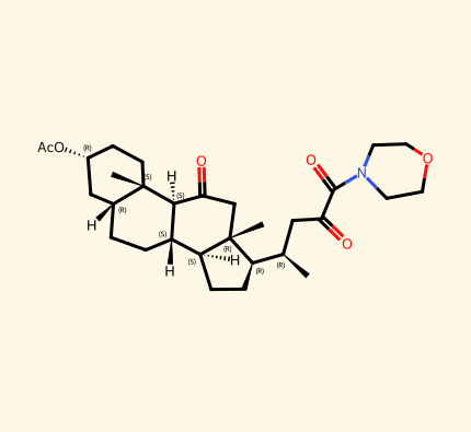 CC(=O)O[C@@H]1CC[C@@]2(C)[C@H](CC[C@H]3[C@@H]4CC[C@H]([C@H](C)CC(=O)C(=O)N5CCOCC5)[C@@]4(C)CC(=O)[C@@H]32)C1